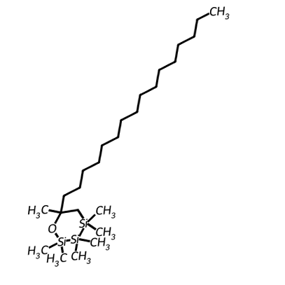 CCCCCCCCCCCCCCCCC1(C)C[Si](C)(C)[Si](C)(C)[Si](C)(C)O1